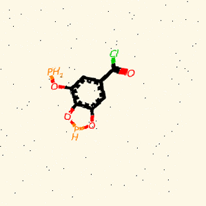 O=C(Cl)c1cc(OP)c2c(c1)OPO2